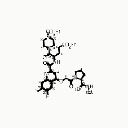 CCNC(=O)C1CCCN1C(=O)COc1cc(C(=O)NC(CCC(=O)OCC)C(=O)N2CCN(C(=O)OCC)CC2)nc2cc(C)c(F)cc12